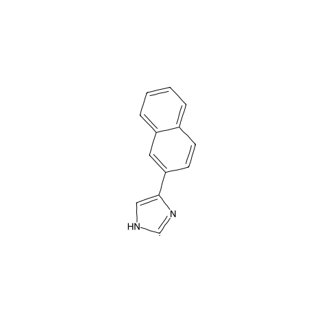 [c]1nc(-c2ccc3ccccc3c2)c[nH]1